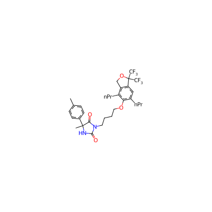 CCCc1cc2c(c(CCC)c1OCCCCN1C(=O)NC(C)(c3ccc(C)cc3)C1=O)COC2(C(F)(F)F)C(F)(F)F